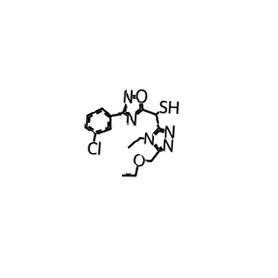 CCOCc1nnc(C(S)c2nc(-c3cccc(Cl)c3)no2)n1CC